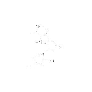 Cc1nccc2c1[nH]c1c(-c3ccc(Cl)nc3Cl)cc(Cl)cc12